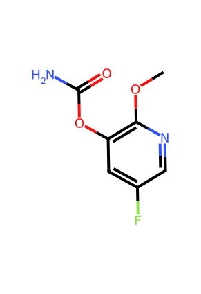 COc1ncc(F)cc1OC(N)=O